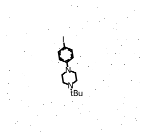 CC(C)(C)N1CCN(c2ccc(I)cc2)CC1